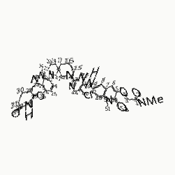 CNC(=O)COc1cc2cc(Nc3nc(N4CCCC5(CCCN(c6cccc7c(C8CCC(=O)NC8=O)nn(C)c67)C5)C4)ncc3Cl)ccc2n(C)c1=O